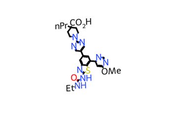 CCCC1(C(=O)O)CCN(c2ncc(-c3cc(-c4cc(OC)ncn4)c4sc(NC(=O)NCC)nc4c3)cn2)CC1